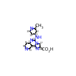 Cc1cc(Nc2nc3ccncc3c3nc(C(=O)O)cn23)ccn1